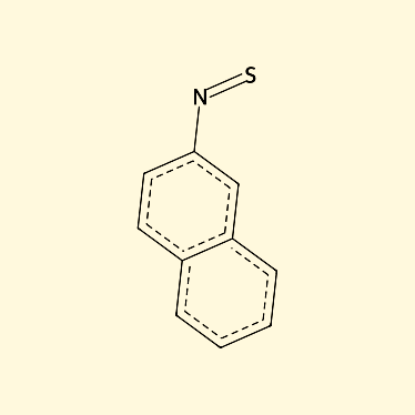 S=Nc1ccc2ccccc2c1